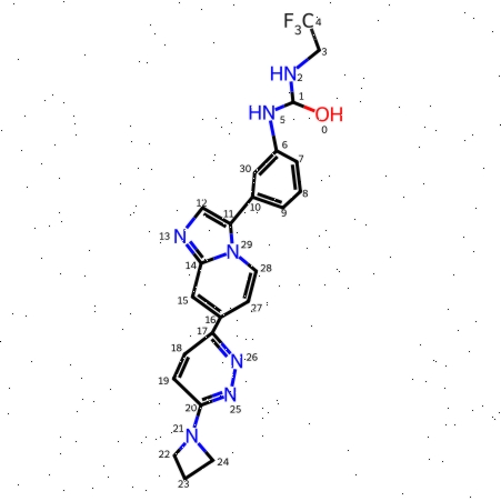 OC(NCC(F)(F)F)Nc1cccc(-c2cnc3cc(-c4ccc(N5CCC5)nn4)ccn23)c1